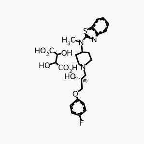 CN(c1nc2ccccc2s1)C1CCN(C[C@@H](O)COc2ccc(F)cc2)CC1.O=C(O)C(O)C(O)C(=O)O